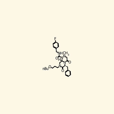 CCCCOCCCN1C[C@H]2N(C(=O)CN(C)N2C(=O)NCc2ccc(F)cc2)[C@@H](Cc2ccccc2)C1=O